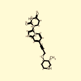 C[C@@H]1CNCC[C@H]1OCC#Cc1ccn2c(N3CCC(=O)NC3=O)cnc2c1